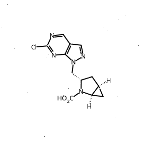 O=C(O)N1[C@H](Cn2ncc3cnc(Cl)nc32)C[C@H]2C[C@H]21